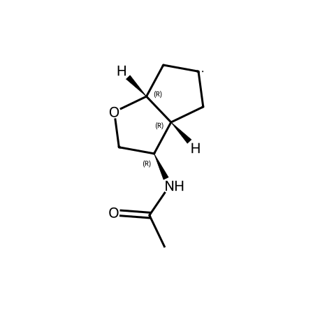 CC(=O)N[C@H]1CO[C@@H]2C[CH]C[C@H]12